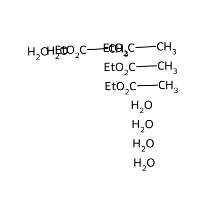 CCOC(C)=O.CCOC(C)=O.CCOC(C)=O.CCOC(C)=O.O.O.O.O.O.O